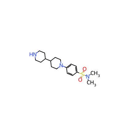 CN(C)S(=O)(=O)c1ccc(N2CCC(C3CCNCC3)CC2)cc1